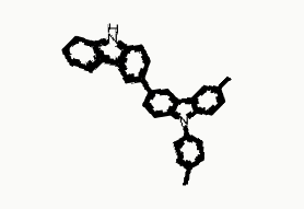 Cc1ccc(-n2c3ccc(C)cc3c3cc(-c4ccc5[nH]c6ccccc6c5c4)ccc32)cc1